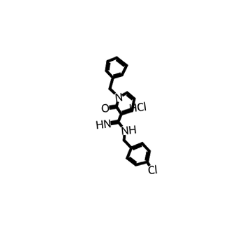 Cl.N=C(NCc1ccc(Cl)cc1)c1cccn(Cc2ccccc2)c1=O